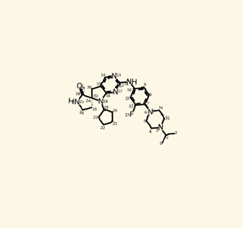 CC(C)N1CCN(c2ccc(Nc3ncc4c(n3)N(C3CCCC3)[C@]3(CCNC3=O)C4)cc2F)CC1